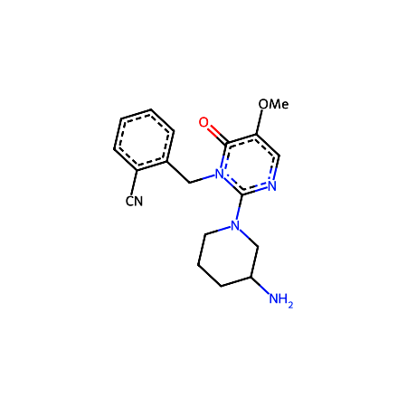 COc1cnc(N2CCCC(N)C2)n(Cc2ccccc2C#N)c1=O